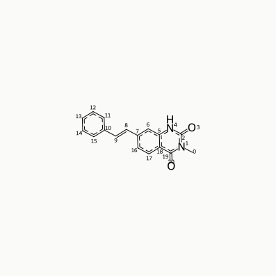 Cn1c(=O)[nH]c2cc(/C=C/c3ccccc3)ccc2c1=O